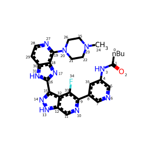 CCCCC(=O)Nc1cncc(-c2ncc3[nH]nc(-c4nc5c(N6CCN(C)CC6)nccc5[nH]4)c3c2F)c1